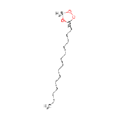 CCCCCCCCCCCCCC[SiH]1OO[SiH2]O1